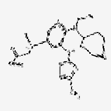 COC(=O)C[C@@H](C)c1cnc(N(CC(C)C)C2CCOCC2)c(Nc2nc(C(F)(F)F)ns2)c1